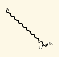 CCCCOC(CC)COCCCCCCCCCCCCCCCCC(C)C